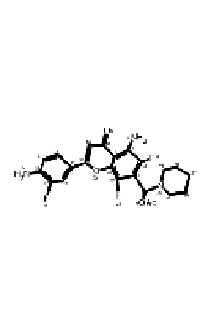 CC(=O)OC(c1c(F)c(N)c2c(=O)cc(-c3ccc(N)c(F)c3)oc2c1F)N1CCCCC1